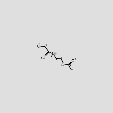 CC(=O)SCCNC(=O)CCl